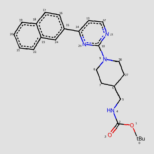 CC(C)(C)OC(=O)NCC1CCN(c2nccc(-c3ccc4ccccc4c3)n2)CC1